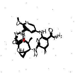 COc1ncc(Nc2nc(N[C@H](C3CC3)[C@H](C)NC(=O)O)c(F)cc2C(N)=O)cc1-n1nccn1